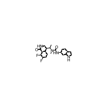 CC(c1c[nH]c(=O)c2c(F)c(F)ccc12)N(C)C(=O)Nc1ccc2cc[nH]c2c1